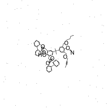 CC#CCOCc1cc(C(C)(C)c2cc(CP3(=O)Oc4ccccc4-c4ccccc43)c(O)c(CP3(=O)Oc4ccccc4-c4ccccc43)c2)cc(COCCCC)c1OC#N